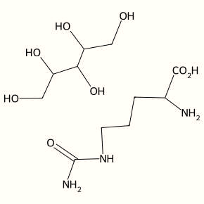 NC(=O)NCCCC(N)C(=O)O.OCC(O)C(O)C(O)CO